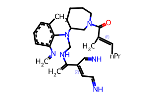 C=Nc1cccc(C)c1N(CNC(=C)/C(C=N)=C/C=N)C1CCCCN(C(=O)/C(C)=C/CCC)C1